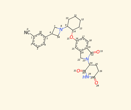 N#Cc1cccc(C2CN(C3CCCCC3Oc3ccc4c(c3)CN(C3CCC(=O)NC3=O)C4=O)C2)c1